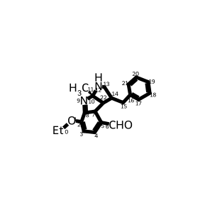 CCOC1=CC=C(C=O)C2C1=N[C@]1(C)NCC(Cc3ccccc3)C21